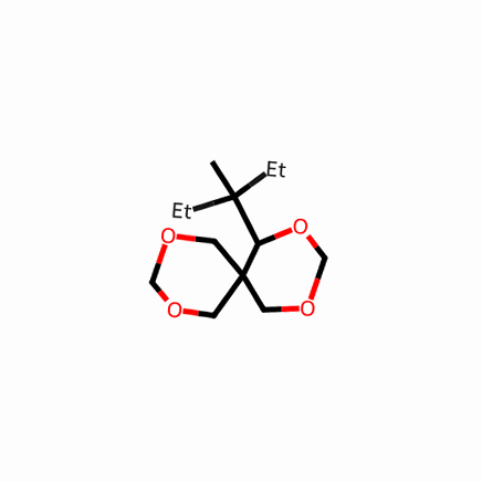 CCC(C)(CC)C1OCOCC12COCOC2